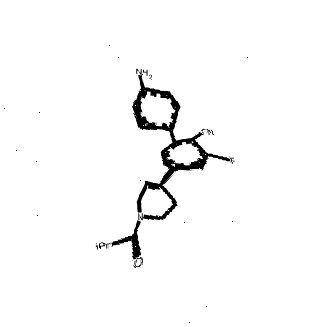 CC(C)C(=O)N1CC=C(c2cc(F)c(C#N)c(-c3ccc(N)cc3)c2)CC1